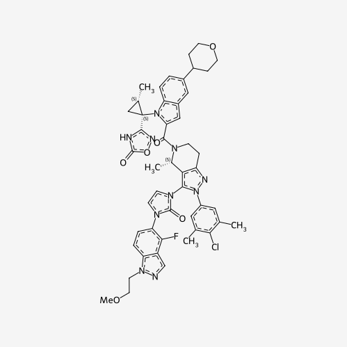 COCCn1ncc2c(F)c(-n3ccn(-c4c5c(nn4-c4cc(C)c(Cl)c(C)c4)CCN(C(=O)c4cc6cc(C7CCOCC7)ccc6n4[C@@]4(c6noc(=O)[nH]6)C[C@@H]4C)[C@H]5C)c3=O)ccc21